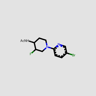 CC(=O)NC1CCN(c2ccc(Br)cn2)CC1F